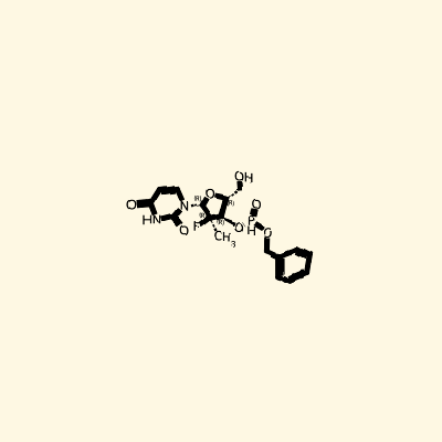 C[C@@]1(F)[C@H](O[PH](=O)OCc2ccccc2)[C@@H](CO)O[C@H]1n1ccc(=O)[nH]c1=O